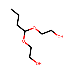 CCCC(OCCO)OCCO